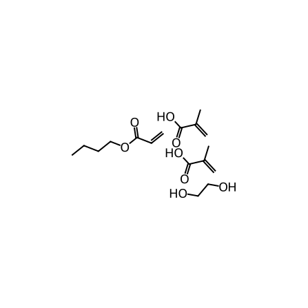 C=C(C)C(=O)O.C=C(C)C(=O)O.C=CC(=O)OCCCC.OCCO